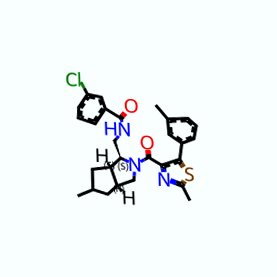 Cc1cccc(-c2sc(C)nc2C(=O)N2C[C@@H]3CC(C)C[C@@H]3[C@H]2CNC(=O)c2cccc(Cl)c2)c1